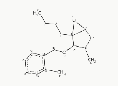 CCCCC12OC1CC(C)C2OCc1ccccc1C